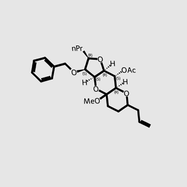 [CH2][CH]C[C@H]1O[C@@H]2[C@@H](OC3(OC)CCC(CC=C)O[C@@H]3[C@H]2OC(C)=O)[C@H]1OCc1ccccc1